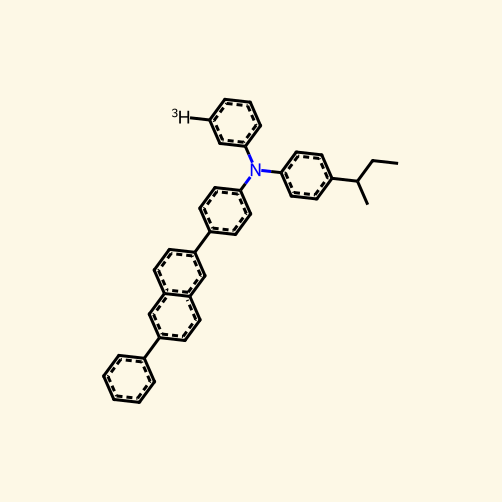 [3H]c1cccc(N(c2ccc(-c3ccc4cc(-c5ccccc5)ccc4c3)cc2)c2ccc(C(C)CC)cc2)c1